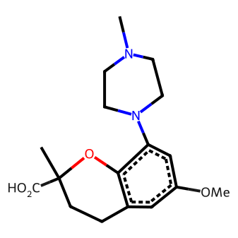 COc1cc2c(c(N3CCN(C)CC3)c1)OC(C)(C(=O)O)CC2